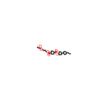 C=CC(=O)OCCCCOC(=O)C1CCC(C(=O)OC2CCC(C3CCC(CCC)CC3)CC2)CC1